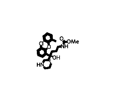 COC(=O)NCCC[C@@](O)(c1cccc(Cl)c1Oc1ccccc1C)[C@@H]1CCCNC1